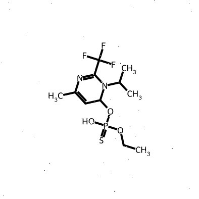 CCOP(O)(=S)OC1C=C(C)N=C(C(F)(F)F)N1C(C)C